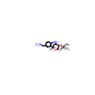 CC(C)(C)[Si](C)(C)O[C@@H]1CO[C@@H]2CC1Nc1ccc(CN)cc12